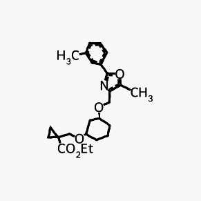 CCOC(=O)C1(CO[C@@H]2CCC[C@H](OCc3nc(-c4cccc(C)c4)oc3C)C2)CC1